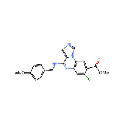 COC(=O)c1cc2c(cc1Cl)nc(NCc1ccc(OC)cc1)c1cncn12